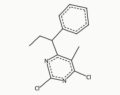 CCC(c1ccccc1)c1nc(Cl)nc(Cl)c1C